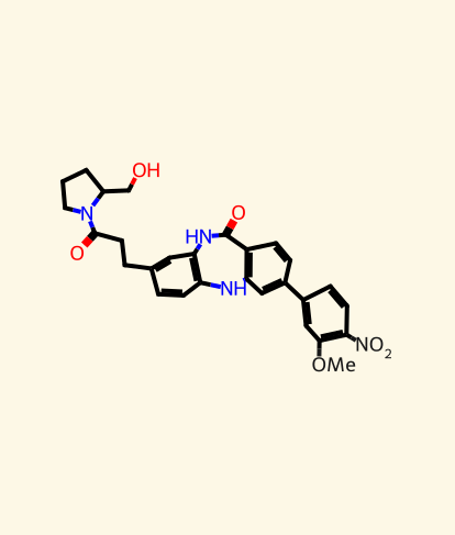 COc1cc(-c2ccc3c(c2)Nc2ccc(CCC(=O)N4CCCC4CO)cc2NC3=O)ccc1[N+](=O)[O-]